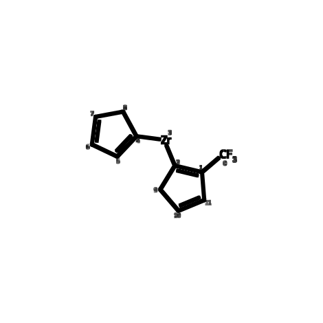 FC(F)(F)C1=[C]([Zr][C]2=CC=CC2)CC=C1